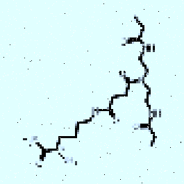 CCC(=O)NCCN(CCNC(=O)CC)C(=O)CCC(=O)NCCCC[C@H](N)C(=O)P